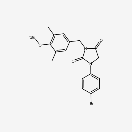 Cc1cc(CN2C(=O)CN(c3ccc(Br)cc3)C2=O)cc(C)c1OC(C)(C)C